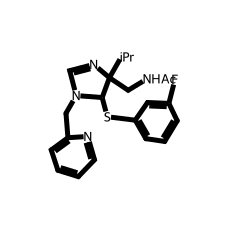 CC(=O)NCC1(C(C)C)N=CN(Cc2ccccn2)C1Sc1cccc(F)c1